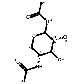 CC(=O)N[C@@H]1COC(OC(C)=O)[C@H](O)C1O